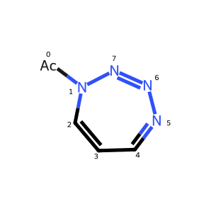 CC(=O)N1C=CC=NN=N1